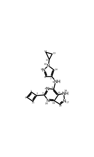 C1=CC(c2nc(Nc3cnn(C4CC4)c3)c3[nH]ncc3n2)=C1